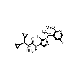 COc1ncc(F)cc1[C@H](C)n1ncc(NC(=O)[C@@H](N)C(C2CC2)C2CC2)c1F